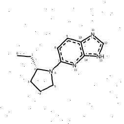 CC[C@H]1CCCN1c1ccc2nc[nH]c2n1